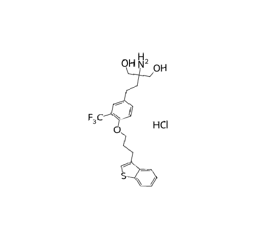 Cl.NC(CO)(CO)CCc1ccc(OCCCc2csc3ccccc23)c(C(F)(F)F)c1